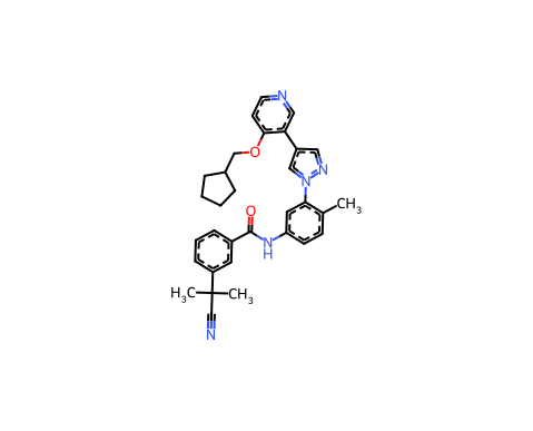 Cc1ccc(NC(=O)c2cccc(C(C)(C)C#N)c2)cc1-n1cc(-c2cnccc2OCC2CCCC2)cn1